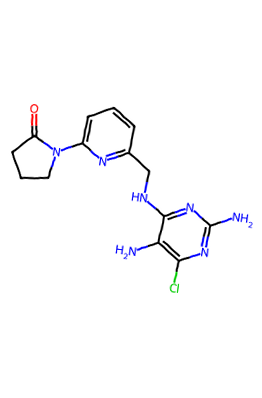 Nc1nc(Cl)c(N)c(NCc2cccc(N3CCCC3=O)n2)n1